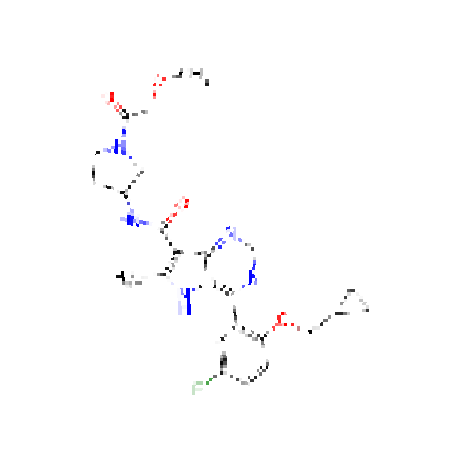 COCC(=O)N1CCC(NC(=O)c2c(C)[nH]c3c(-c4cc(F)ccc4OCC4CC4)ncnc23)C1